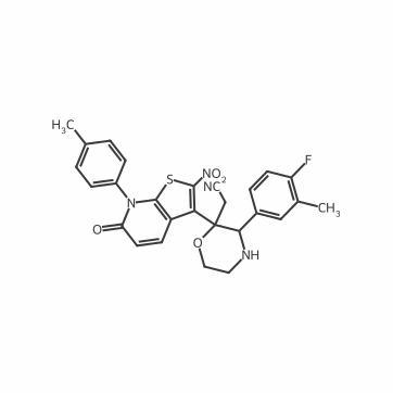 Cc1ccc(-n2c(=O)ccc3c(C4(CC#N)OCCNC4c4ccc(F)c(C)c4)c([N+](=O)[O-])sc32)cc1